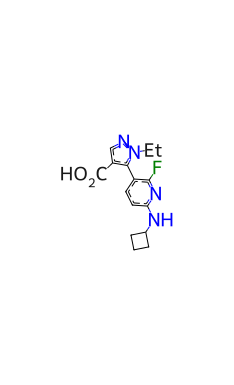 CCn1ncc(C(=O)O)c1-c1ccc(NC2CCC2)nc1F